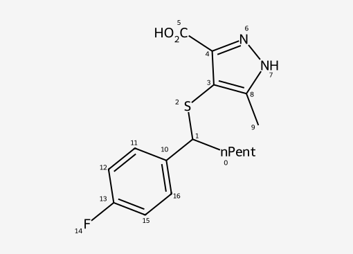 CCCCCC(Sc1c(C(=O)O)n[nH]c1C)c1ccc(F)cc1